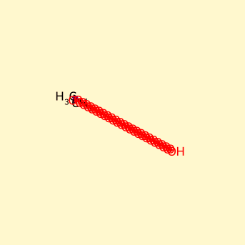 CCP(C)(=O)OOOOOOOOOOOOOOOOOOOOOOOOOOOOOOOOOOOOOOOOOOOOOO